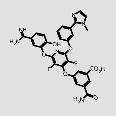 Cn1ccnc1-c1cccc(Oc2nc(Oc3cc(C(=N)N)ccc3O)c(F)c(Oc3cc(C(N)=O)cc(C(=O)O)c3)c2F)c1